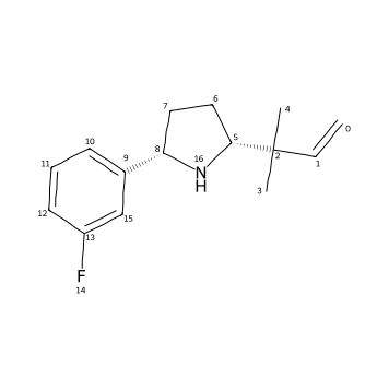 C=CC(C)(C)[C@H]1CC[C@@H](c2cccc(F)c2)N1